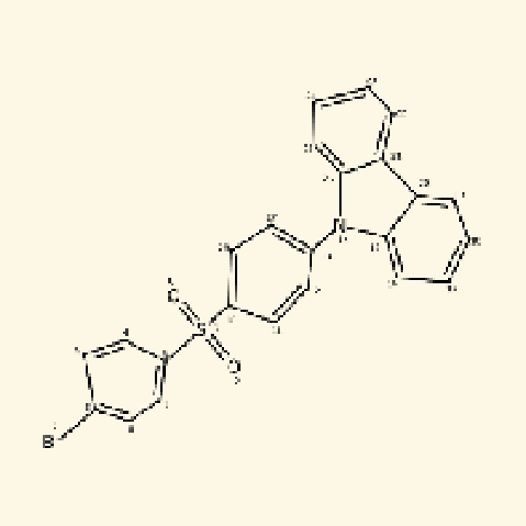 O=S(=O)(c1ccc(Br)cc1)c1ccc(-n2c3ccccc3c3ccccc32)cc1